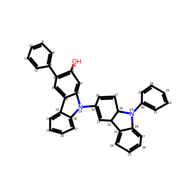 Oc1cc2c(cc1-c1ccccc1)c1ccccc1n2C1=CC2c3ccccc3N(c3ccccc3)C2C=C1